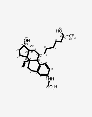 C=CC12CCc3cc(NS(=O)(=O)O)ccc3C1[C@@H](CCCCC[C@H](O)C(F)(F)F)C[C@@]1(C)C2CC[C@@H]1O